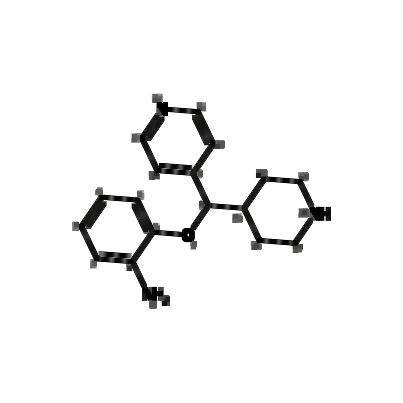 Nc1ccccc1OC(c1ccncc1)C1CCNCC1